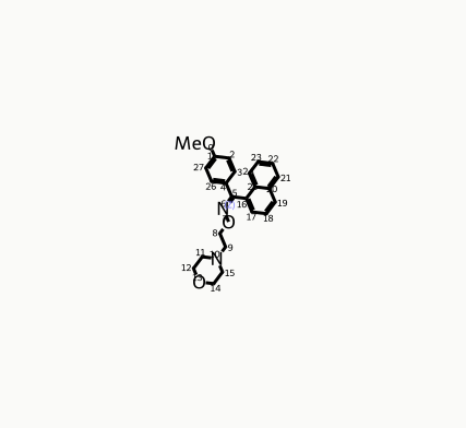 COc1ccc(/C(=N/OCCN2CCOCC2)c2cccc3ccccc23)cc1